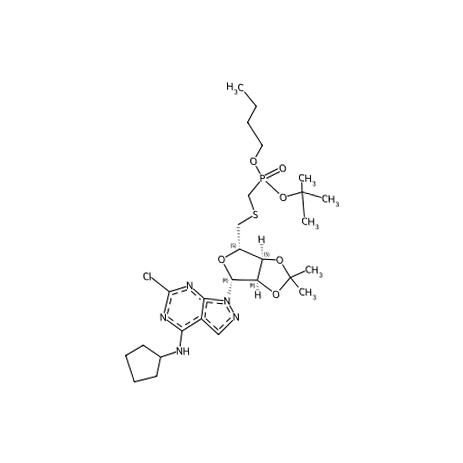 CCCCOP(=O)(CSC[C@H]1O[C@@H](n2ncc3c(NC4CCCC4)nc(Cl)nc32)[C@@H]2OC(C)(C)O[C@@H]21)OC(C)(C)C